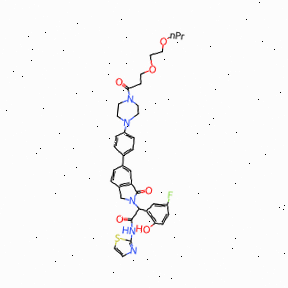 CCCOCCOCCC(=O)N1CCN(c2ccc(-c3ccc4c(c3)C(=O)N(C(C(=O)Nc3nccs3)c3cc(F)ccc3O)C4)cc2)CC1